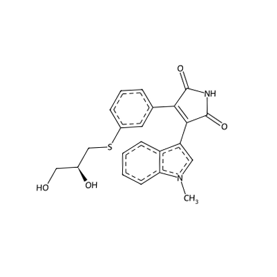 Cn1cc(C2=C(c3cccc(SC[C@@H](O)CO)c3)C(=O)NC2=O)c2ccccc21